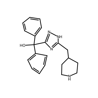 OC(c1ccccc1)(c1ccccc1)c1n[nH]c(CC2CCNCC2)n1